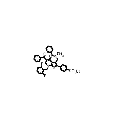 CCOC(=O)c1ccc(-c2sc3c(c2CN(C)Cc2ccccc2)c(=O)c(C(=O)c2ccccc2)cn3Cc2c(F)cccc2F)cc1